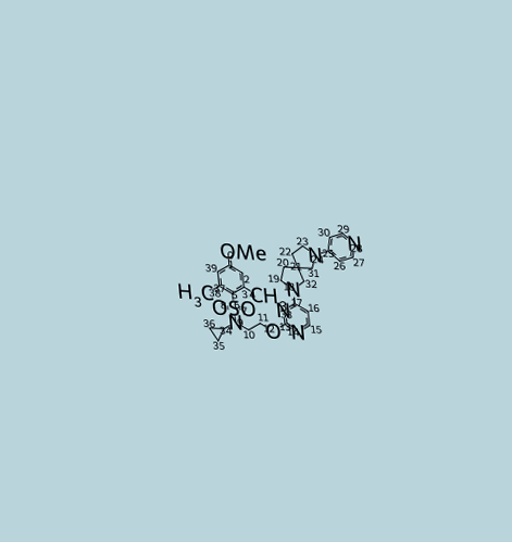 COc1cc(C)c(S(=O)(=O)N(CCOc2nccc(N3CCC4(CCN(c5ccncc5)C4)C3)n2)C2CC2)c(C)c1